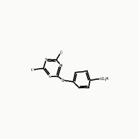 O=S(=O)(O)c1ccc(Oc2nc(Cl)nc(Cl)n2)cc1